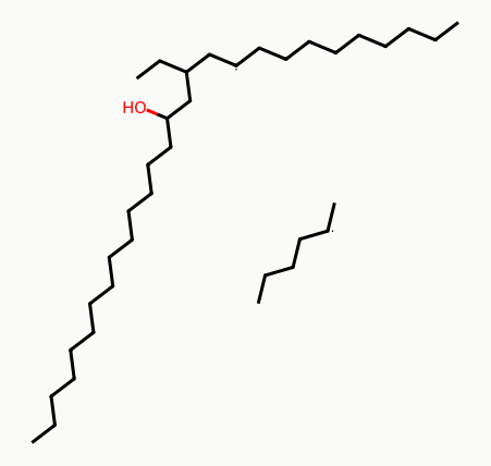 CCCCCCCCC[CH]CC(CC)CC(O)CCCCCCCCCCCCCC.C[CH]CCCC